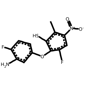 Cc1c([N+](=O)[O-])cc(F)c(Oc2ccc(F)c(N)c2)c1S